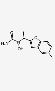 CC(c1cc2cc(F)ccc2o1)N(O)C(N)=O